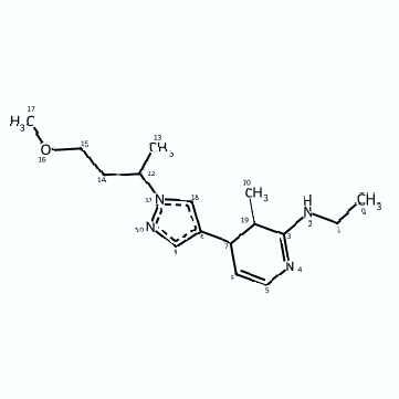 CCNC1=NC=CC(c2cnn(C(C)CCOC)c2)C1C